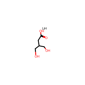 O=C(O)CC(CO)CO.[LiH]